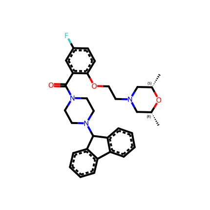 C[C@@H]1CN(CCOc2ccc(F)cc2C(=O)N2CCN(C3c4ccccc4-c4ccccc43)CC2)C[C@H](C)O1